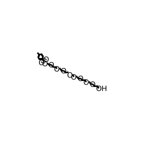 Cc1ccc(S(=O)(=O)OCCOCCOCCOCCOCOCCOCCOCCOCCO)cc1